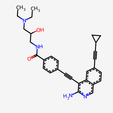 CCN(CC)CC(O)CNC(=O)c1ccc(C#Cc2c(N)ncc3ccc(C#CC4CC4)cc23)cc1